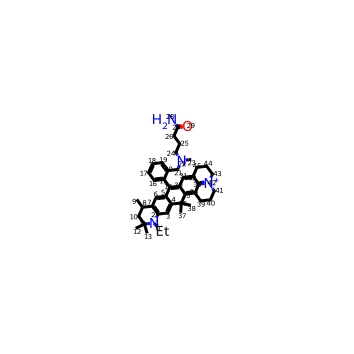 CCN1c2cc3c(cc2C(C)CC1(C)C)C(c1ccccc1CN(C)CCCC(N)=O)=c1cc2c4c(c1C3(C)C)CCC[N+]=4CCC2